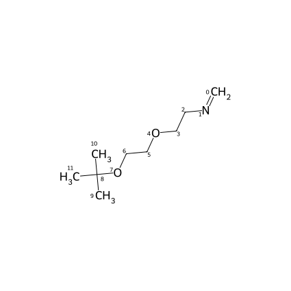 C=NCCOCCOC(C)(C)C